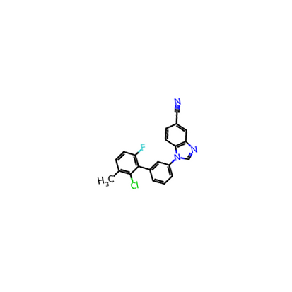 Cc1ccc(F)c(-c2cccc(-n3cnc4cc(C#N)ccc43)c2)c1Cl